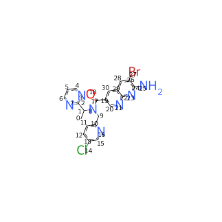 CC(c1ncccn1)N(Cc1ccc(Cl)cn1)C(=O)c1cnc2nc(N)c(Br)cc2c1